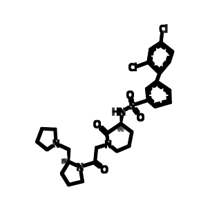 O=C1[C@@H](NS(=O)(=O)c2cccc(-c3ccc(Cl)cc3Cl)c2)CCCN1CC(=O)N1CCC[C@H]1CN1CCCC1